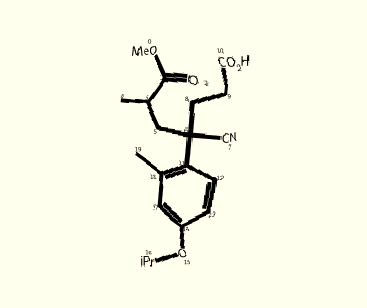 COC(=O)C(C)CC(C#N)(CCC(=O)O)c1ccc(OC(C)C)cc1C